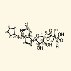 CC(F)(P(=O)(O)O)S(=O)(=O)C[C@H]1O[C@@H](n2ncc3c(NC4CCCC4)nc(Cl)nc32)[C@H](O)[C@@H]1O